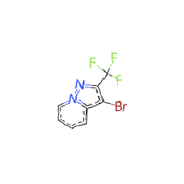 FC(F)(F)c1nn2ccccc2c1Br